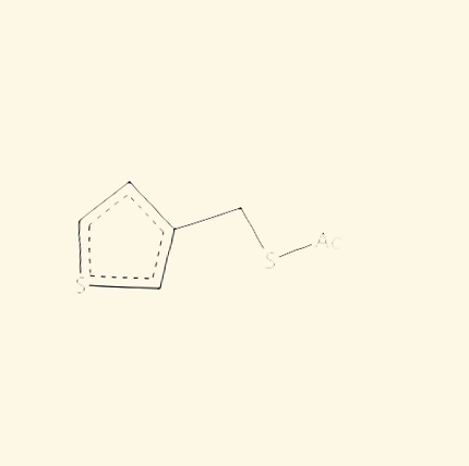 CC(=O)SCc1ccsc1